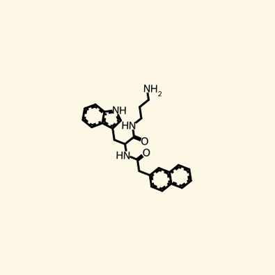 NCCCNC(=O)C(Cc1c[nH]c2ccccc12)NC(=O)Cc1ccc2ccccc2c1